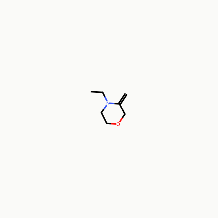 C=C1COCCN1CC